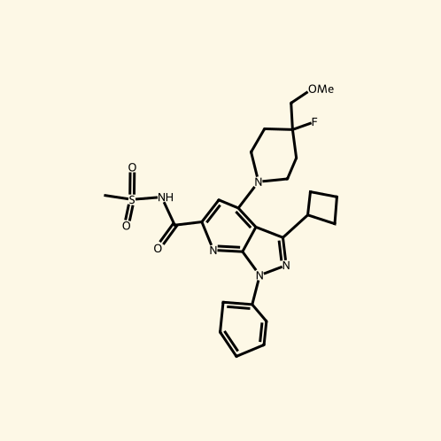 COCC1(F)CCN(c2cc(C(=O)NS(C)(=O)=O)nc3c2c(C2CCC2)nn3-c2ccccc2)CC1